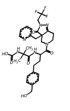 CC(C)(NC(=O)O)C(=O)NC(CCc1ccc(CO)cc1)C(=O)N1CCC2=NN(CC(F)(F)F)C(=O)C2(Cc2ccccn2)C1